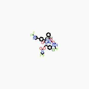 CC(C)(C)CC1(c2ccc(-c3cnn(C(F)F)c3)cc2)NC(=NC(=O)OCc2ccccc2)N(C(COC(=O)N2CC(F)(F)C2)c2ccc(Cl)c(-n3ncnc3C(F)F)c2)C1=O